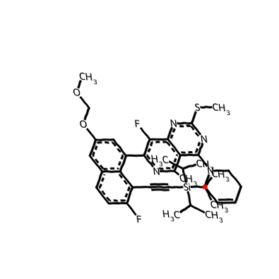 COCOc1cc(-c2nc(C)c3c(N4CC=CCC4)nc(SC)nc3c2F)c2c(C#C[Si](C(C)C)(C(C)C)C(C)C)c(F)ccc2c1